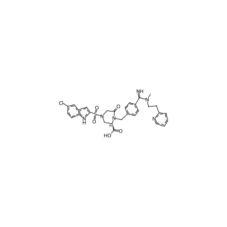 CN(CCc1ccccn1)C(=N)c1ccc(CN2C(=O)CN(S(=O)(=O)c3cc4cc(Cl)ccc4[nH]3)C[C@@H]2C(=O)O)cc1